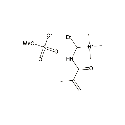 C=C(C)C(=O)NC(CC)[N+](C)(C)C.COS(=O)(=O)[O-]